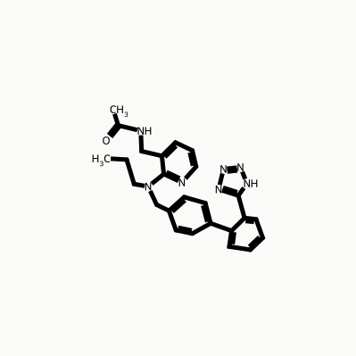 CCCN(Cc1ccc(-c2ccccc2-c2nnn[nH]2)cc1)c1ncccc1CNC(C)=O